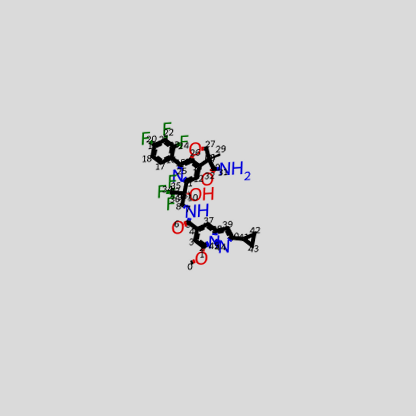 COc1cc(C(=O)NC[C@](O)(c2cc3c(c(-c4ccc(F)c(F)c4F)n2)OC[C@]3(C)C(N)=O)C(F)(F)F)cc2cc(C3CC3)nn12